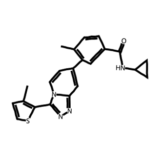 Cc1ccc(C(=O)NC2CC2)cc1-c1ccn2c(-c3sccc3C)nnc2c1